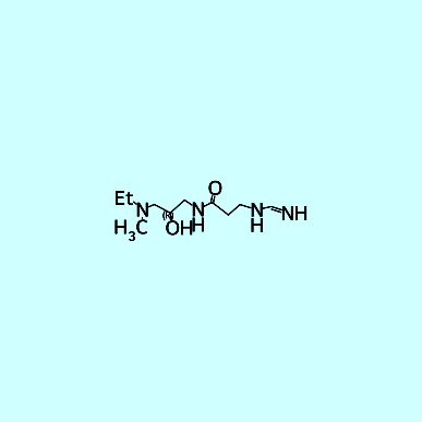 CCN(C)C[C@H](O)CNC(=O)CCNC=N